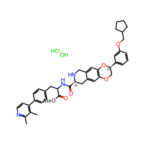 COC(=O)C(Cc1ccc(-c2ccnc(C)c2C)cc1)NC(=O)[C@@H]1Cc2cc3c(cc2CN1)O[C@@H](c1cccc(OCC2CCCC2)c1)CO3.Cl.Cl